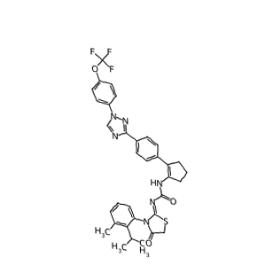 Cc1cccc(N2C(=O)CS/C2=N\C(=O)NC2=C(c3ccc(-c4ncn(-c5ccc(OC(F)(F)F)cc5)n4)cc3)CCC2)c1C(C)C